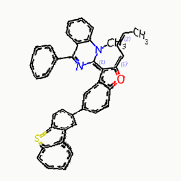 C\C=C/C=c1/oc2ccc(-c3ccc4sc5ccccc5c4c3)cc2/c1=C1\N=C(c2ccccc2)c2ccccc2N1C